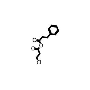 O=C(CCCl)OC(=O)CCc1ccccc1